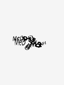 COc1ccc(C(=O)N2Cc3c(N4CCOC[C@H]4C)nc(-c4cccc5[nH]ccc45)nc3C2(C)C)cc1OC